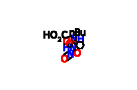 CCCC[C@H](NC(=O)C1(NC(=O)N2CCOCC2)CCCCC1)C(O)C(=O)O